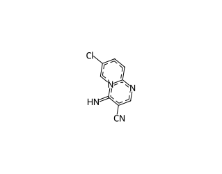 N#Cc1cnc2ccc(Cl)cn2c1=N